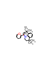 C=C(C1=CCC=CO1)[N+]12CCC(C)(C)c3cccc(c31)C(C)(C)CC2